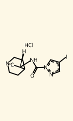 Cl.O=C(N[C@H]1CN2CCC1CC2)n1cc(I)cn1